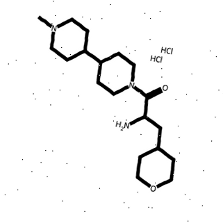 CN1CCC(C2CCN(C(=O)C(N)CC3CCOCC3)CC2)CC1.Cl.Cl